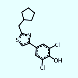 Oc1c(Cl)cc(-c2csc(CC3CCCC3)n2)cc1Cl